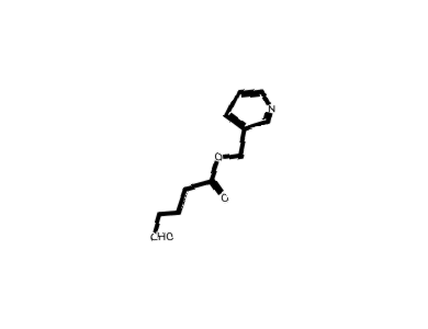 O=CCCCC(=O)OCc1cccnc1